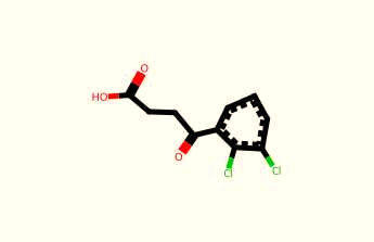 O=C(O)CCC(=O)c1cccc(Cl)c1Cl